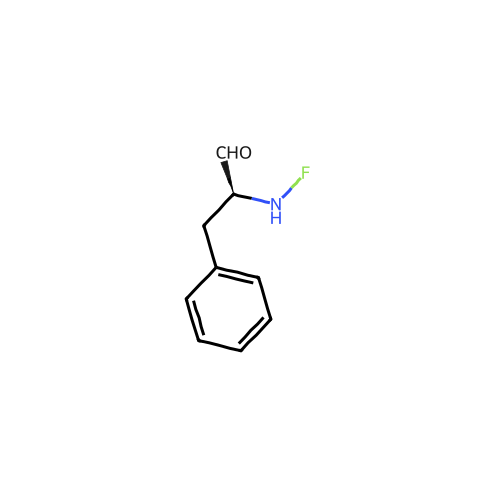 O=C[C@H](Cc1ccccc1)NF